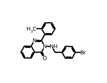 Cc1ccccc1-c1nc2ccccc2c(=O)n1NCc1ccc(Br)cc1